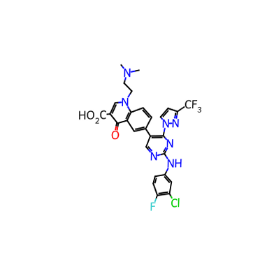 CN(C)CCn1cc(C(=O)O)c(=O)c2cc(-c3cnc(Nc4ccc(F)c(Cl)c4)nc3-n3ccc(C(F)(F)F)n3)ccc21